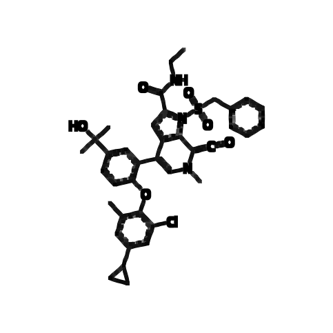 CCNC(=O)c1cc2c(n1S(=O)(=O)Cc1ccccc1)C(=C=O)N(C)C=C2c1cc(C(C)(C)O)ccc1Oc1c(C)cc(C2CC2)cc1Cl